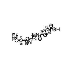 O=C(NC12CC(c3nnc(C4CC(OC(F)(F)F)C4)o3)(C1)C2)C1CC2CN(C(=O)O)CC2O1